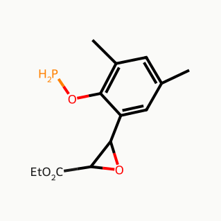 CCOC(=O)C1OC1c1cc(C)cc(C)c1OP